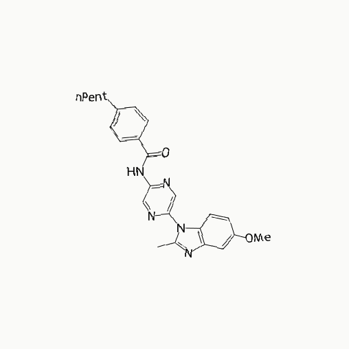 CCCCCc1ccc(C(=O)Nc2cnc(-n3c(C)nc4cc(OC)ccc43)cn2)cc1